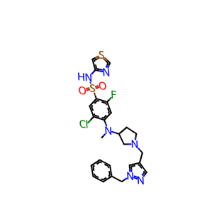 CN(c1cc(F)c(S(=O)(=O)Nc2cscn2)cc1Cl)C1CCN(Cc2cnn(Cc3ccccc3)c2)C1